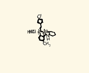 Cc1ccc2nc(/C=C/c3ccc(Cl)cc3)nc(NC3CCCCC3N)c2c1.Cl.Cl